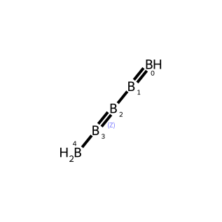 B=B/B=B\B